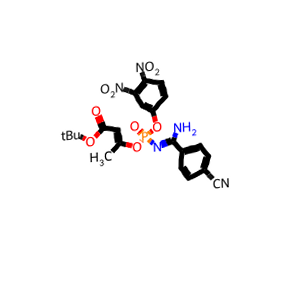 CC(=CC(=O)OC(C)(C)C)OP(=O)(N=C(N)c1ccc(C#N)cc1)Oc1ccc([N+](=O)[O-])c([N+](=O)[O-])c1